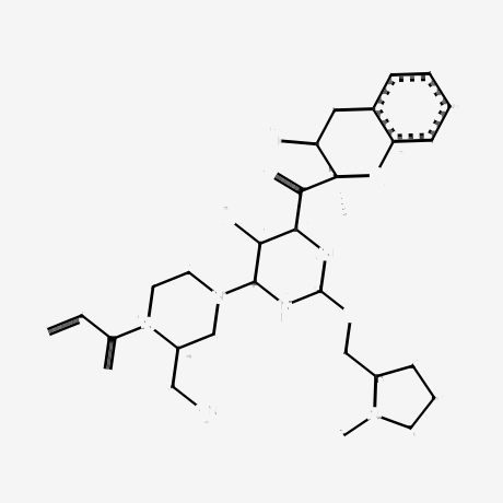 C=CC(=O)N1CCN(C2NC(OCC3CCCN3C)NC(C(=O)[C@]3(C)Sc4ccccc4CC3Cl)C2CC)CC1CC#N